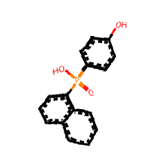 O=P(O)(c1ccc(O)cc1)c1cccc2ccccc12